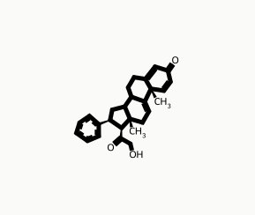 C[C@]12C=CC(=O)C=C1CCC1C2=CC[C@@]2(C)C1C[C@H](c1ccccc1)[C@@H]2C(=O)CO